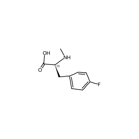 CN[C@@H](Cc1ccc(F)cc1)C(=O)O